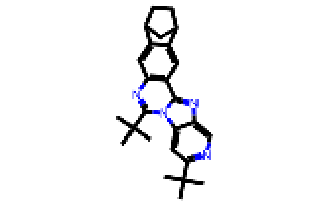 CC(C)(C)c1cc2c(cn1)nc1c3cc4c(cc3nc(C(C)(C)C)n21)C1CCC4C1